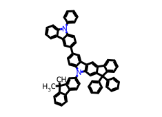 CC1(C)c2ccccc2-c2ccc(-n3c4ccc(-c5ccc6c(c5)c5ccccc5n6-c5ccccc5)cc4c4cc5c(cc43)C(c3ccccc3)(c3ccccc3)c3ccccc3-5)cc21